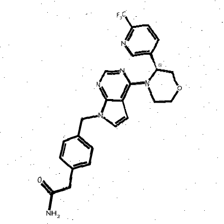 NC(=O)Cc1ccc(Cn2ccc3c(N4CCOC[C@@H]4c4ccc(C(F)(F)F)nc4)ncnc32)cc1